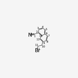 N#Cc1cccc2ccc(CCBr)cc12